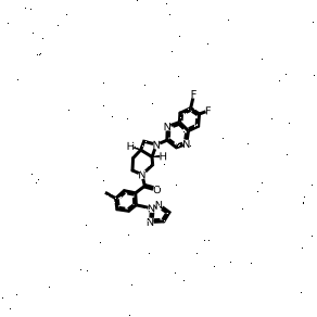 Cc1ccc(-n2nccn2)c(C(=O)N2CC[C@@H]3CN(c4cnc5cc(F)c(F)cc5n4)[C@@H]3C2)c1